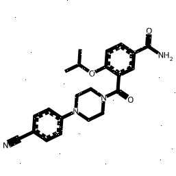 CC(C)Oc1ccc(C(N)=O)cc1C(=O)N1CCN(c2ccc(C#N)cc2)CC1